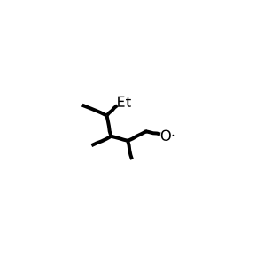 CCC(C)C(C)C(C)C[O]